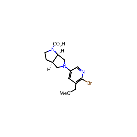 COCc1cc(N2C[C@H]3CCN(C(=O)O)[C@H]3C2)cnc1Br